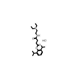 CCN(CC)CCNC(=O)CCC(=O)Oc1c(C(C)C)cccc1C(C)C.Cl